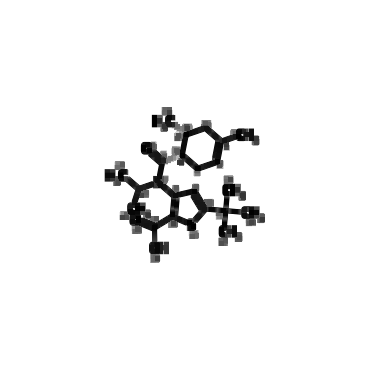 CC1=CC[C@H](C(=O)N(c2cc(C(C)(C)C)sc2C(=O)O)C(C)C)[C@H](C)C1